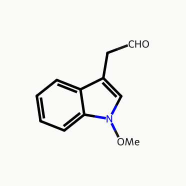 COn1cc(CC=O)c2ccccc21